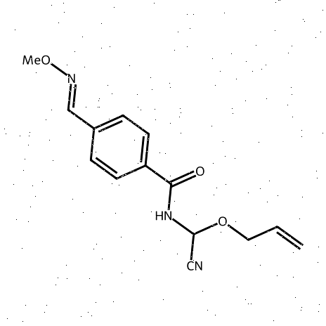 C=CCOC(C#N)NC(=O)c1ccc(C=NOC)cc1